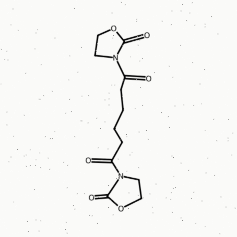 O=C(CCCCC(=O)N1CCOC1=O)N1CCOC1=O